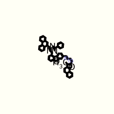 Cc1c(/C=C\C=C\c2ccc3c(c2)oc2cccc(-c4nc(-c5ccccc5)nc(-c5cc6ccccc6c6ccccc56)n4)c23)oc2c1ccc1ccccc12